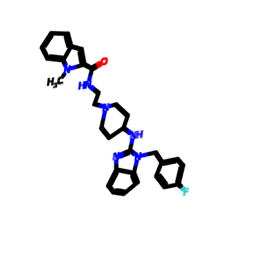 Cn1c(C(=O)NCCN2CCC(Nc3nc4ccccc4n3Cc3ccc(F)cc3)CC2)cc2ccccc21